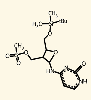 CC(C)(C)[Si](C)(C)OCC1OC(Nc2cc[nH]c(=O)n2)C1COS(C)(=O)=O